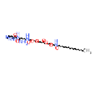 CCCCCCCCCCCCCCCCCC(=O)NCCOCCOCC(=O)CCCOCCOCC(=O)NCCCC[C@H](NCC(=O)[C@@H](N)Cc1cnc[nH]1)C(N)=O